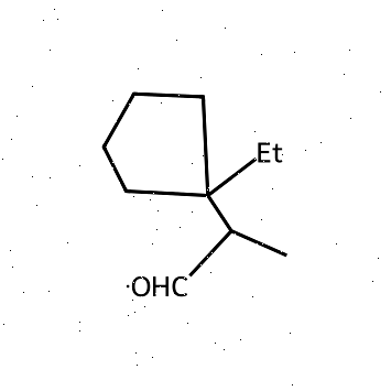 CCC1(C(C)[C]=O)CCCC1